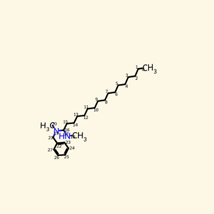 CCCCCCCCCCCCCCCCC(NC)N(C)Cc1ccccc1